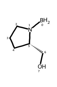 BN1CCC[C@H]1CO